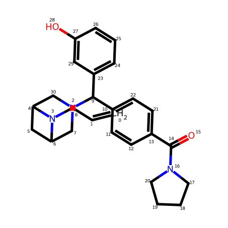 C=CCN1C2CC1CN(C(c1ccc(C(=O)N3CCCC3)cc1)c1cccc(O)c1)C2